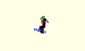 Nc1ncc(-c2cccc(C(=O)NCc3cccc(Cl)c3Cl)c2)nc1C(=O)N[C@H]1CCCNC1